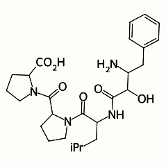 CC(C)CC(NC(=O)C(O)C(N)Cc1ccccc1)C(=O)N1CCCC1C(=O)N1CCCC1C(=O)O